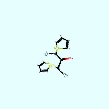 CC(C(=O)C(C)[SH]1C=CC=C1)[SH]1C=CC=C1